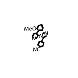 COc1ccccc1-c1ccncc1-n1cncc1-c1ccc(C#N)cc1